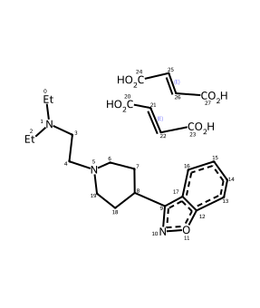 CCN(CC)CCN1CCC(c2noc3ccccc23)CC1.O=C(O)/C=C/C(=O)O.O=C(O)/C=C/C(=O)O